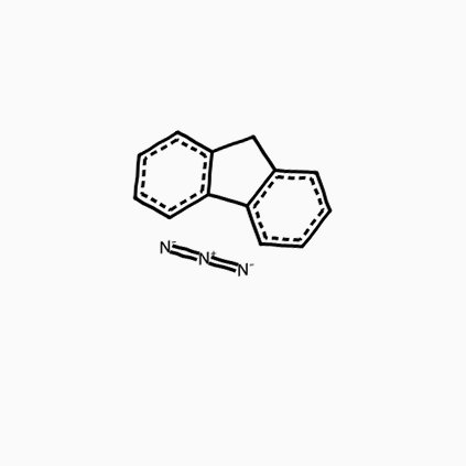 [N-]=[N+]=[N-].c1ccc2c(c1)Cc1ccccc1-2